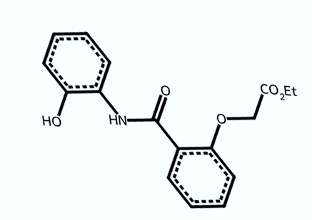 CCOC(=O)COc1ccccc1C(=O)Nc1ccccc1O